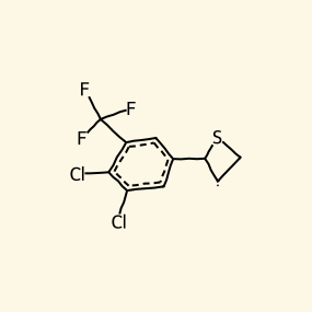 FC(F)(F)c1cc(C2[CH]CS2)cc(Cl)c1Cl